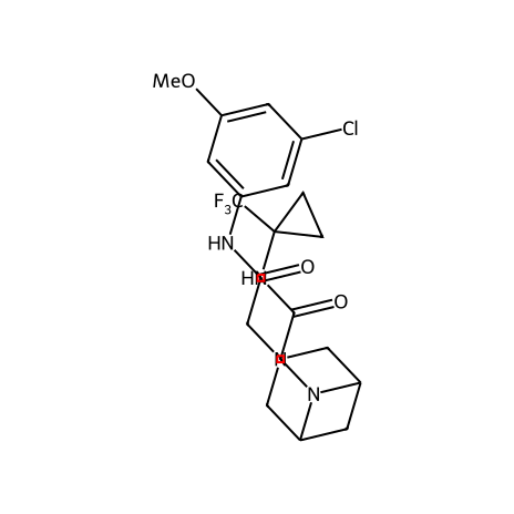 COc1cc(Cl)cc(NC(=O)CN2CC3CC(C2)N3CC(=O)NC2(C(F)(F)F)CC2)c1